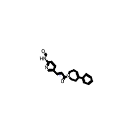 O=CNc1ccc(/C=C/C(=O)N2CCC=C(c3ccccc3)CC2)cn1